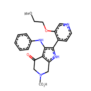 COCCOc1cnccc1-c1[nH]c2c(c1Nc1ccccc1)C(=O)CN(C(=O)O)C2